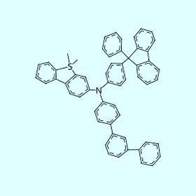 CS1(C)c2ccccc2-c2ccc(N(c3ccc(-c4cccc(-c5ccccc5)c4)cc3)c3ccc(C4(c5ccccc5)c5ccccc5-c5ccccc54)cc3)cc21